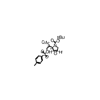 CC(=O)O[C@H](COS(=O)(=O)c1ccc(C)cc1)[C@@H]1[C@@H]2O[C@@H]2CN1C(=O)OC(C)(C)C